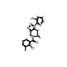 Cc1cccc(C(=O)N2Cc3nnn(-c4ncccc4F)c3CC2C)c1Cl